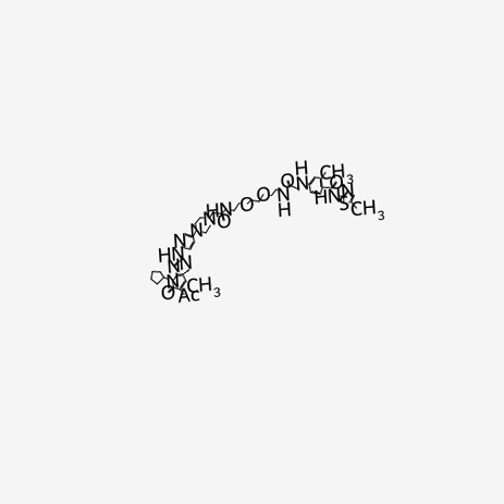 CC(=O)c1c(C)c2cnc(Nc3ccc(N4CCN(CC(=O)NCCOCCOCCNC(=O)CNc5ccc(C(=O)Nc6ncc(C)s6)c(C)c5)CC4)cn3)nc2n(C2CCCC2)c1=O